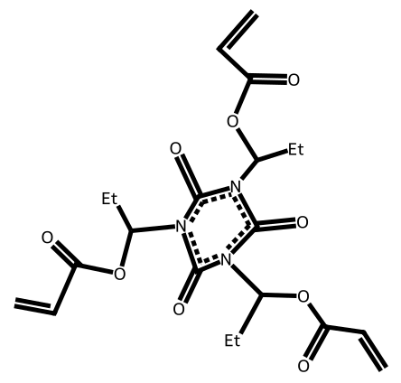 C=CC(=O)OC(CC)n1c(=O)n(C(CC)OC(=O)C=C)c(=O)n(C(CC)OC(=O)C=C)c1=O